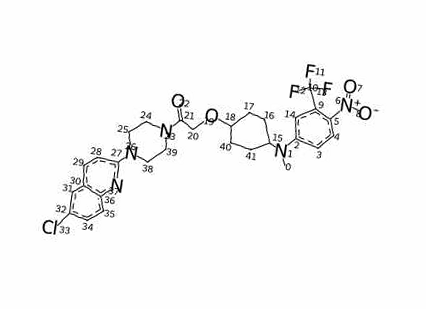 CN(c1ccc([N+](=O)[O-])c(C(F)(F)F)c1)C1CCC(OCC(=O)N2CCN(c3ccc4cc(Cl)ccc4n3)CC2)CC1